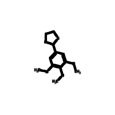 COc1cc(C2OCCS2)cc(OC)c1OC